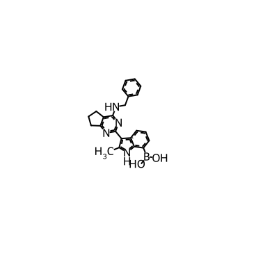 Cc1[nH]c2c(B(O)O)cccc2c1-c1nc2c(c(NCc3ccccc3)n1)CCC2